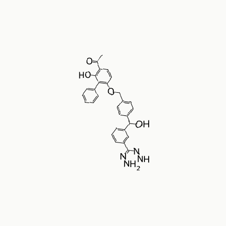 CC(=O)c1ccc(OCc2ccc(C(O)c3cccc(/C(N=N)=N/N)c3)cc2)c(-c2ccccc2)c1O